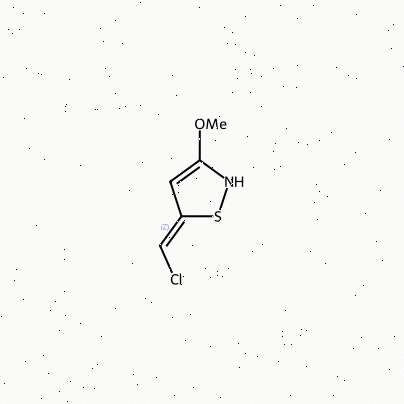 COC1=C/C(=C/Cl)SN1